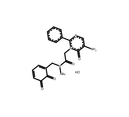 CCCCN(CC1=CC=CC(=O)C1=O)C(=O)Cn1c(-c2ccccc2)ncc(N)c1=O.Cl